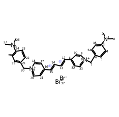 CN(C)c1ccc(C[n+]2ccc(/C=C/C=C/c3cc[n+](Cc4ccc(N(C)C)cc4)cc3)cc2)cc1.[Br-].[Br-]